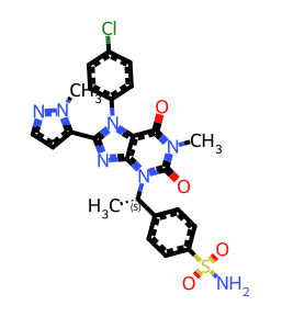 C[C@@H](c1ccc(S(N)(=O)=O)cc1)n1c(=O)n(C)c(=O)c2c1nc(-c1ccnn1C)n2-c1ccc(Cl)cc1